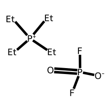 CC[P+](CC)(CC)CC.O=P([O-])(F)F